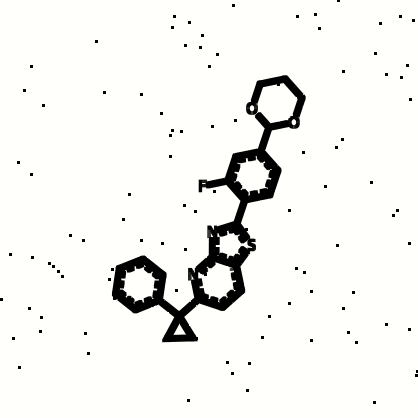 Fc1cc(C2OCCCO2)ccc1-c1nc2nc(C3(c4ccccc4)CC3)ccc2s1